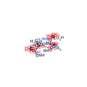 C=C1C[C@H]2C(O)N(C(=O)OCc3ccc(O[C@@H]4O[C@H](C(=O)O)[C@@H](O)[C@H](O)[C@H]4O)c(C(=O)NCCCN)c3)c3cc(OCCCCCOc4cc5c(cc4OC)C(=O)N4CC(=C)C[C@H]4C(O)N5C(=O)OCc4ccc(O[C@@H]5O[C@H](C(=O)O)[C@@H](O)[C@H](O)[C@H]5O)c(C(=O)NCCOC)c4)c(OC)cc3C(=O)N2C1